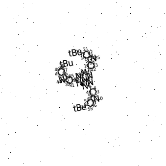 Cn1c2ccc(C3=NC4=NC(c5ccc6c(c5)c5cc(C(C)(C)C)ccc5n6C)=NC5=NC(c6ccc7c(c6)c6cc(C(C)(C)C)ccc6n7C)=NC(=N3)N45)cc2c2cc(C(C)(C)C)ccc21